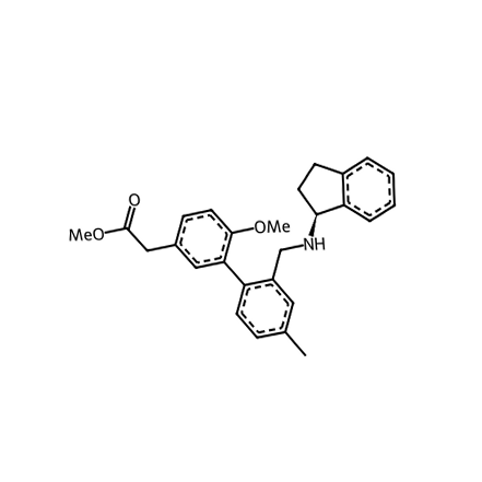 COC(=O)Cc1ccc(OC)c(-c2ccc(C)cc2CN[C@H]2CCc3ccccc32)c1